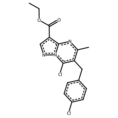 CCOC(=O)c1cnn2c(Cl)c(Cc3ccc(Cl)cc3)c(C)nc12